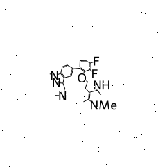 CN/C(C)=C(/CCOc1c(-c2ccc3c(c2)c(CN(C)C)nn3C)ccc(F)c1F)C(C)=N